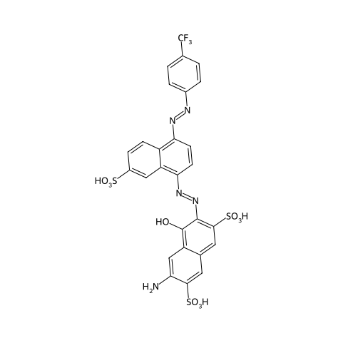 Nc1cc2c(O)c(/N=N/c3ccc(/N=N/c4ccc(C(F)(F)F)cc4)c4ccc(S(=O)(=O)O)cc34)c(S(=O)(=O)O)cc2cc1S(=O)(=O)O